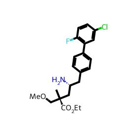 CCOC(=O)[C@](C)(COC)C[C@H](N)Cc1ccc(-c2cc(Cl)ccc2F)cc1